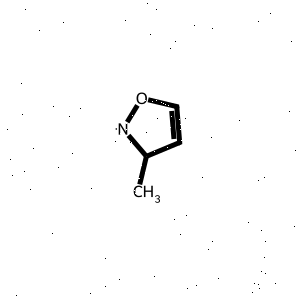 CC1C=CO[N]1